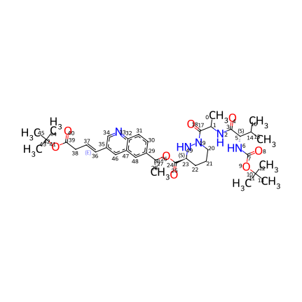 CC(NC(=O)[C@@H](NC(=O)OC(C)(C)C)C(C)C)C(=O)N1CCC[C@@H](C(=O)O[C@H](C)c2ccc3ncc(/C=C/CC(=O)OC(C)(C)C)cc3c2)N1